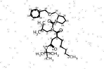 CCCCCC(CC(=O)OC(C)(C)C)C(=O)N(CC(C)C)C(=O)N1CCC[C@H]1COCc1ccccc1